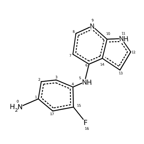 Nc1ccc(Nc2ccnc3[nH]ccc23)c(F)c1